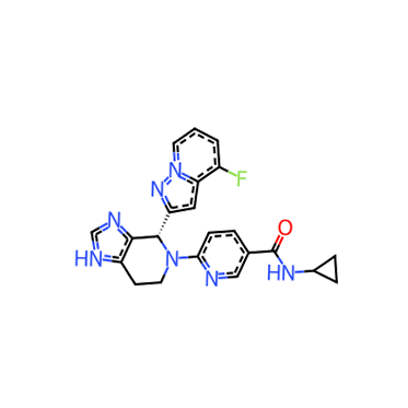 O=C(NC1CC1)c1ccc(N2CCc3[nH]cnc3[C@@H]2c2cc3c(F)cccn3n2)nc1